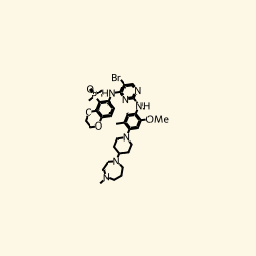 COc1cc(N2CCC(N3CCCN(C)CC3)CC2)c(C)cc1Nc1ncc(Br)c(Nc2ccc3c(c2P(C)(C)=O)OCCO3)n1